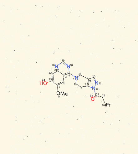 COc1cc2c(N3CCc4c(cnn4C(=O)CC(C)C)C3)ncnc2cc1O